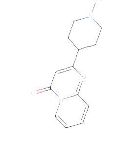 CC(C)N1CCC(c2cc(=O)n3ccccc3n2)CC1